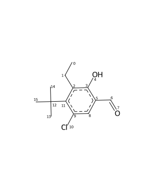 CCc1c(O)c(C=O)cc(Cl)c1C(C)(C)C